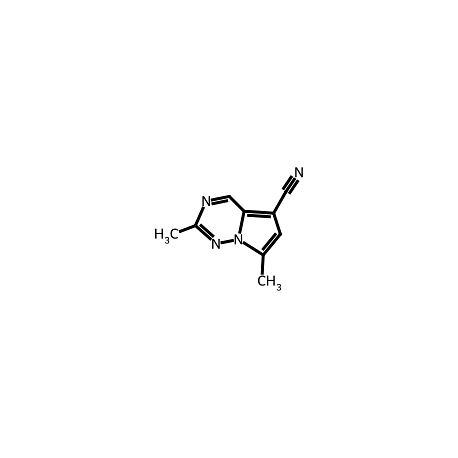 Cc1ncc2c(C#N)cc(C)n2n1